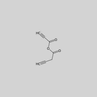 C#CCC(=O)OC(=O)C#C